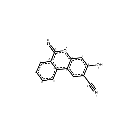 N#Cc1cc2c(cc1O)oc(=O)c1ccccc12